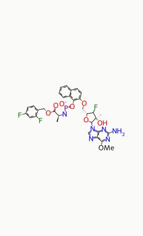 COc1nc(N)nc2c1ncn2C1O[C@H](COc2ccc3ccccc3c2O/[P+]([O-])=N/[C@@H](C)C(=O)OCc2ccc(F)cc2F)[C@@H](F)[C@@]1(C)O